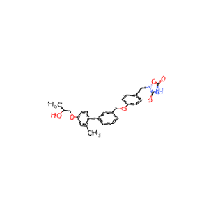 Cc1cc(OC[C@H](C)O)ccc1-c1cccc(COc2ccc(Cn3oc(=O)[nH]c3=O)cc2)c1